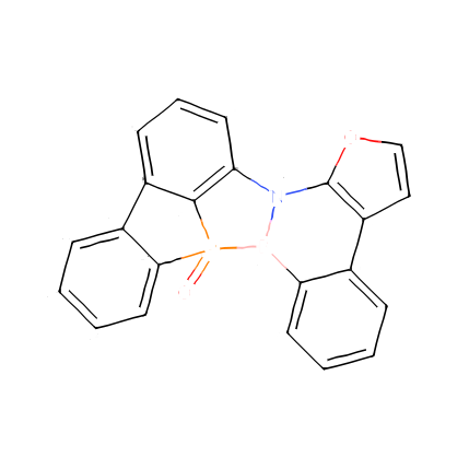 O=P12B3c4ccccc4-c4ccoc4N3c3cccc(c31)-c1ccccc12